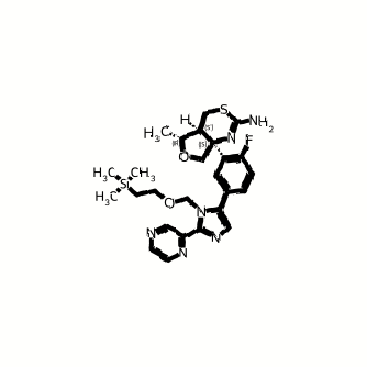 C[C@H]1OC[C@]2(c3cc(-c4cnc(-c5cnccn5)n4COCC[Si](C)(C)C)ccc3F)N=C(N)SC[C@H]12